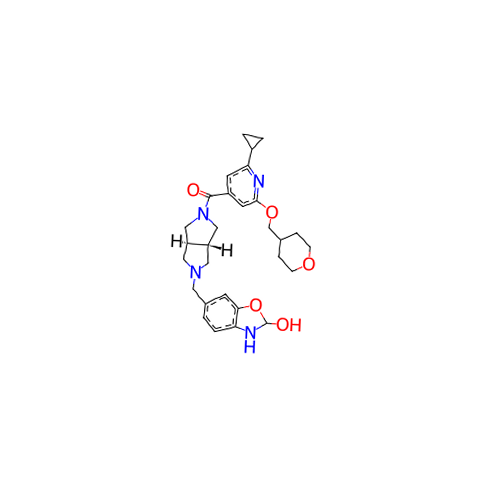 O=C(c1cc(OCC2CCOCC2)nc(C2CC2)c1)N1C[C@@H]2CN(Cc3ccc4c(c3)OC(O)N4)C[C@H]2C1